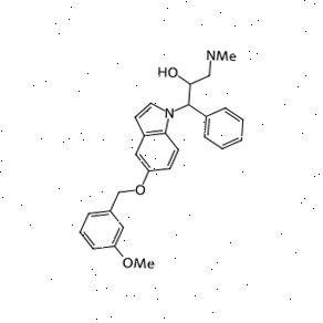 CNCC(O)C(c1ccccc1)n1ccc2cc(OCc3cccc(OC)c3)ccc21